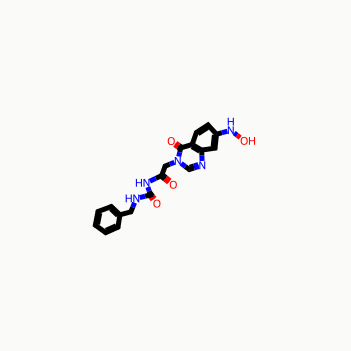 O=C(Cn1cnc2cc(NO)ccc2c1=O)NC(=O)NCc1ccccc1